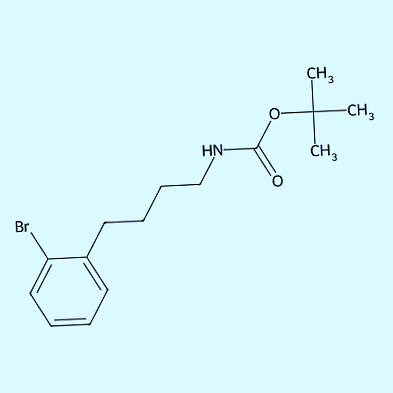 CC(C)(C)OC(=O)NCCCCc1ccccc1Br